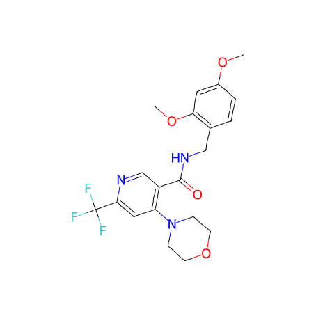 COc1ccc(CNC(=O)c2cnc(C(F)(F)F)cc2N2CCOCC2)c(OC)c1